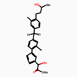 CCC(CC)(c1ccc(CCC(O)C(C)(C)C)c(C)c1)c1ccc(-c2cccc(C(O)C(=O)OC)c2)c(C)c1